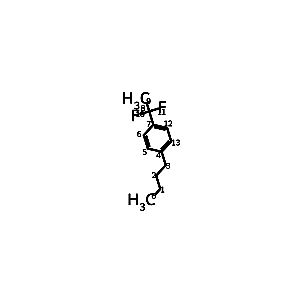 CCCCc1ccc(C(C)(F)F)cc1